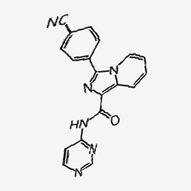 N#Cc1ccc(-c2nc(C(=O)Nc3ccncn3)c3ccccn23)cc1